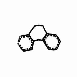 c1ccc2c(c1)CCc1nnccc1-2